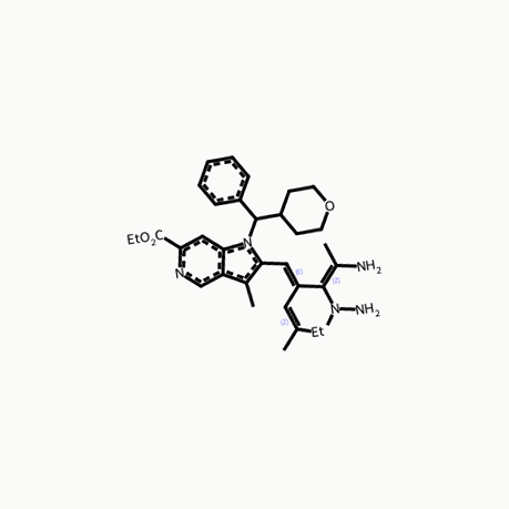 CCOC(=O)c1cc2c(cn1)c(C)c(/C=C(\C=C(\C)CC)C(=C(\C)N)/N(C)N)n2C(c1ccccc1)C1CCOCC1